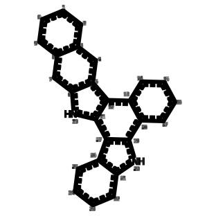 c1ccc2cc3c(cc2c1)[nH]c1c3c2ccccc2c2[nH]c3ccccc3c21